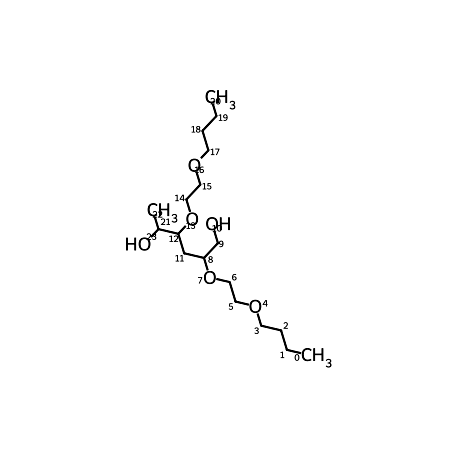 CCCCOCCOC(CO)CC(OCCOCCCC)C(C)O